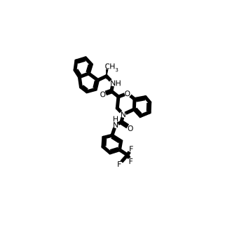 C[C@@H](NC(=O)C1CN(C(=O)Nc2cccc(C(F)(F)F)c2)c2ccccc2O1)c1cccc2ccccc12